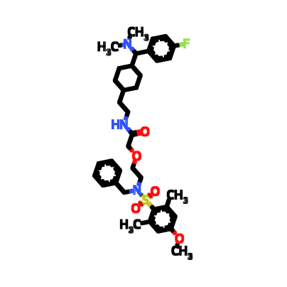 COc1cc(C)c(S(=O)(=O)N(CCOCC(=O)NCCC2CCC(C(c3ccc(F)cc3)N(C)C)CC2)Cc2ccccc2)c(C)c1